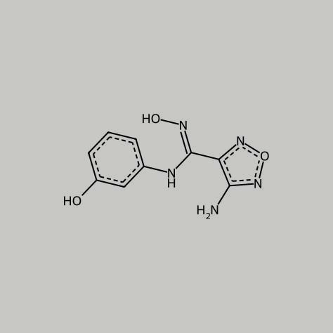 Nc1nonc1/C(=N/O)Nc1cccc(O)c1